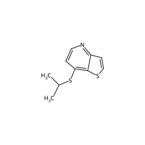 CC(C)Sc1ccnc2ccsc12